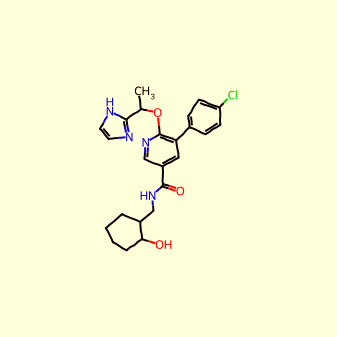 CC(Oc1ncc(C(=O)NCC2CCCCC2O)cc1-c1ccc(Cl)cc1)c1ncc[nH]1